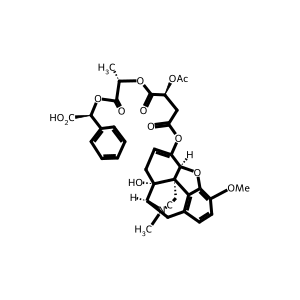 COc1ccc2c3c1O[C@@H]1C(OC(=O)C[C@H](OC(C)=O)C(=O)O[C@@H](C)C(=O)O[C@H](C(=O)O)c4ccccc4)=CC[C@]4(O)[C@H](C2)N(C)CC[C@@]314